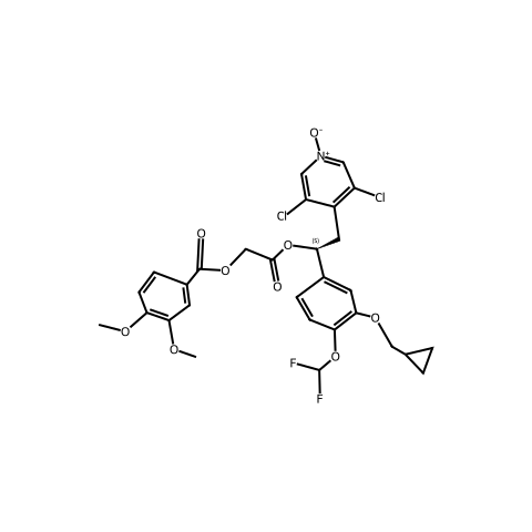 COc1ccc(C(=O)OCC(=O)O[C@@H](Cc2c(Cl)c[n+]([O-])cc2Cl)c2ccc(OC(F)F)c(OCC3CC3)c2)cc1OC